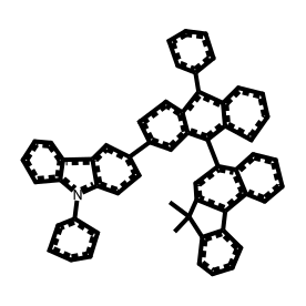 CC1(C)c2ccccc2-c2c1cc(-c1c3ccccc3c(-c3ccccc3)c3ccc(-c4ccc5c(c4)c4ccccc4n5-c4ccccc4)cc13)c1ccccc21